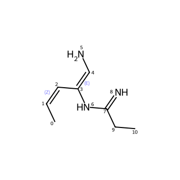 C/C=C\C(=C/N)NC(=N)CC